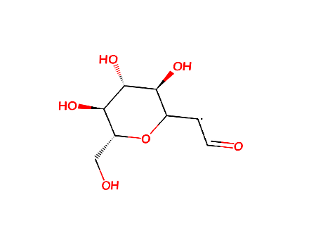 O=C[CH]C1O[C@H](CO)[C@@H](O)[C@H](O)[C@H]1O